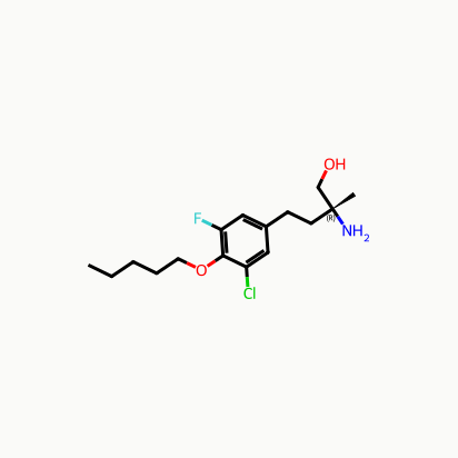 CCCCCOc1c(F)cc(CC[C@@](C)(N)CO)cc1Cl